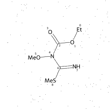 CCOC(=O)N(OC)C(=N)SC